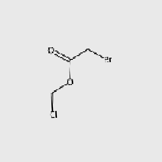 O=C(CBr)OCCl